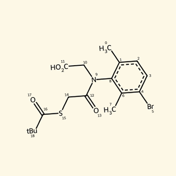 Cc1ccc(Br)c(C)c1N(CC(=O)O)C(=O)CSC(=O)C(C)(C)C